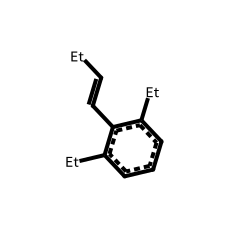 [CH2]CC=Cc1c(CC)cccc1CC